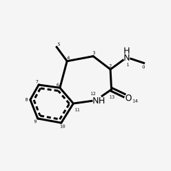 CNC1CC(C)c2ccccc2NC1=O